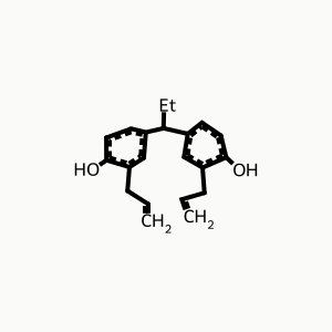 C=CCc1cc(C(CC)c2ccc(O)c(CC=C)c2)ccc1O